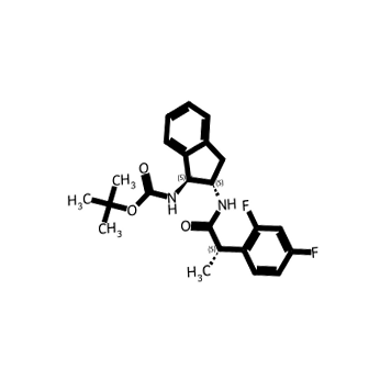 C[C@H](C(=O)N[C@H]1Cc2ccccc2[C@@H]1NC(=O)OC(C)(C)C)c1ccc(F)cc1F